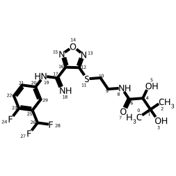 CC(C)(O)C(O)C(=O)NCCSc1nonc1C(=N)Nc1ccc(F)c(C(F)F)c1